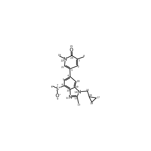 Cc1cc(-c2cc([S+](C)[O-])c3nc(C)n(CC4CC4)c3c2)cn(C)c1=O